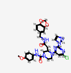 COc1ccc(NC(=O)N2CCN(c3cc(Cl)nc(-n4ccnc4)n3)C(CC(=O)NCc3ccc4c(c3)OCO4)C2)cc1